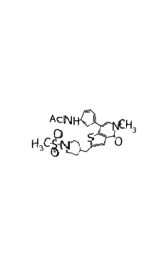 CC(=O)Nc1cccc(-c2cn(C)c(=O)c3cc(CC4CCN(S(C)(=O)=O)CC4)sc23)c1